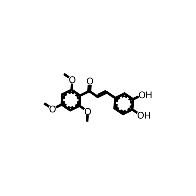 COc1cc(OC)c(C(=O)/C=C/c2ccc(O)c(O)c2)c(OC)c1